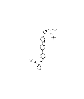 CCCN(Cc1ncc(-c2ccc3c(c2)sc2cc(-c4ccc5nc([C@@H]6[C@H]7CC[C@H](C7)N6C(=O)OC(C)(C)C)[nH]c5c4)ccc23)[nH]1)C(=O)OC(C)(C)C